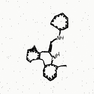 Cc1cccc2c1N/C(=C\Nc1ccccc1)c1ccccc1-2